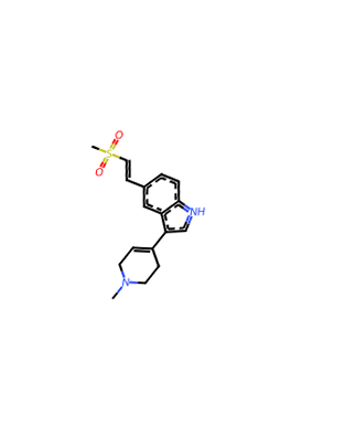 CN1CC=C(c2c[nH]c3ccc(/C=C/S(C)(=O)=O)cc23)CC1